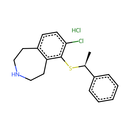 C[C@H](Sc1c(Cl)ccc2c1CCNCC2)c1ccccc1.Cl